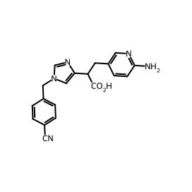 N#Cc1ccc(Cn2cnc(C(Cc3ccc(N)nc3)C(=O)O)c2)cc1